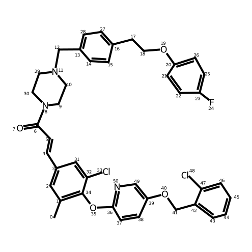 Cc1cc(C=CC(=O)N2CCN(Cc3ccc(CCOc4ccc(F)cc4)cc3)CC2)cc(Cl)c1Oc1ccc(OCc2ccccc2Cl)cn1